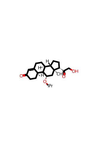 CC(C)O[C@H]1C[C@]2(C=O)[C@@H](C(=O)CO)CC[C@H]2[C@@H]2CCC3=CC(=O)CC[C@]3(C)[C@H]21